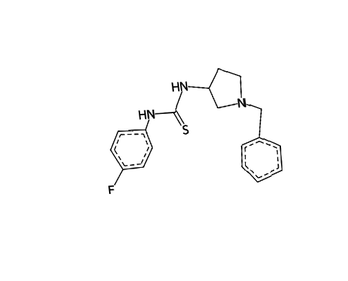 Fc1ccc(NC(=S)NC2CCN(Cc3ccccc3)C2)cc1